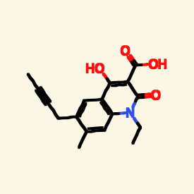 CC#CCc1cc2c(O)c(C(=O)O)c(=O)n(CC)c2cc1C